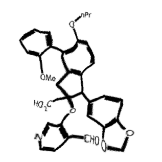 CCCOc1ccc2c(c1-c1ccccc1OC)CC(Oc1cnccc1C=O)(C(=O)O)C2c1ccc2c(c1)OCO2